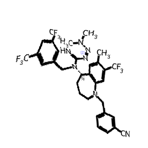 Cc1cc2c(cc1C(F)(F)F)N(Cc1cccc(C#N)c1)CCC[C@@H]2N(Cc1cc(C(F)(F)F)cc(C(F)(F)F)c1)C(=N)/N=N\N(C)C